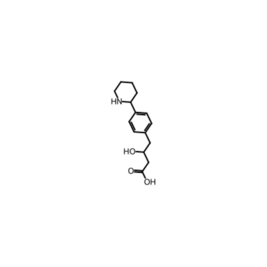 O=C(O)CC(O)Cc1ccc(C2CCCCN2)cc1